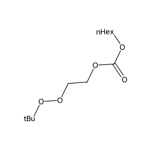 CCCCCCOC(=O)OCCOOC(C)(C)C